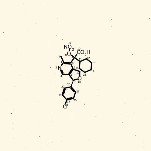 Cc1ncc2c(c1[C@@](O[N+](=O)[O-])(C(=O)O)C1CCCCC1)CO[C@H]2c1ccc(Cl)cc1